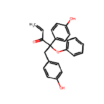 C=CC(=O)C(Cc1ccc(O)cc1)(Oc1ccccc1)c1ccc(O)cc1